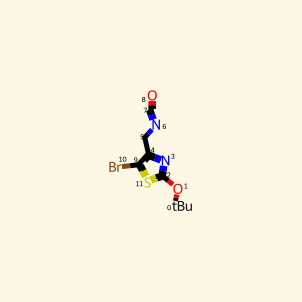 CC(C)(C)Oc1nc(CN=C=O)c(Br)s1